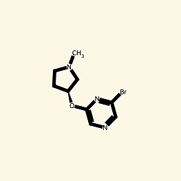 CN1CC[C@H](Oc2cncc(Br)n2)C1